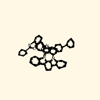 c1ccc(-c2ccc(-c3nc(-c4cccc5nc(-c6ccccc6)oc45)nc(-n4c5ccccc5c5ccc6c7ccccc7n(-c7cccc8c7oc7ccccc78)c6c54)n3)cc2)cc1